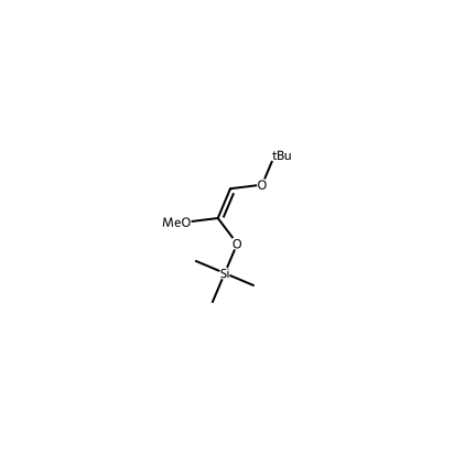 CO/C(=C/OC(C)(C)C)O[Si](C)(C)C